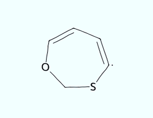 [C]1=CC=COCS1